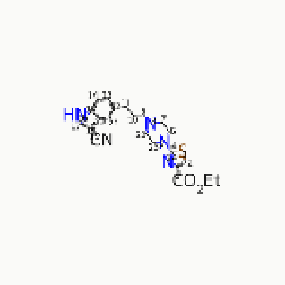 CCOC(=O)c1csc(N2CCN(CCCc3ccc4[nH]cc(C#N)c4c3)CC2)n1